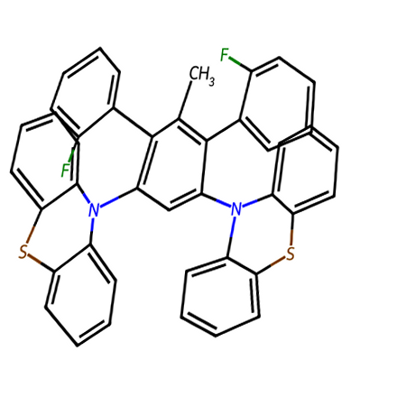 Cc1c(-c2ccccc2F)c(N2c3ccccc3Sc3ccccc32)cc(N2c3ccccc3Sc3ccccc32)c1-c1ccccc1F